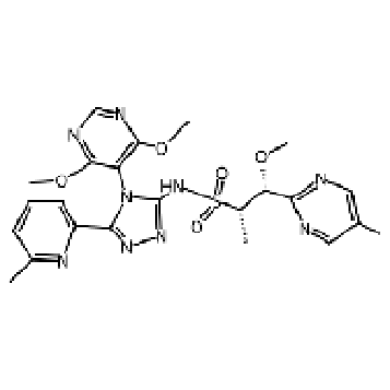 COc1ncnc(OC)c1-n1c(NS(=O)(=O)[C@@H](C)[C@H](OC)c2ncc(C)cn2)nnc1-c1cccc(C)n1